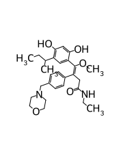 CCNC(=O)C/C(=C(\OC)c1cc(C(C)CC)c(O)cc1O)c1ccc(CN2CCOCC2)cc1